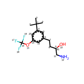 CC(C)(C)c1cc(CC[C@@H](O)CN)cc(OC(F)(F)F)c1